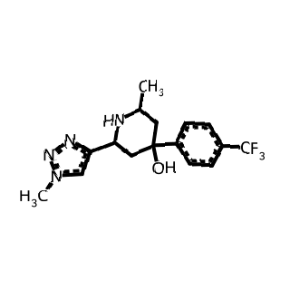 CC1CC(O)(c2ccc(C(F)(F)F)cc2)CC(c2cn(C)nn2)N1